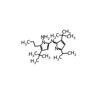 CCCc1c(C(C)(C)C)cc(/N=C2\N=C(C(C)C)C=C2C(C)(C)C)n1N